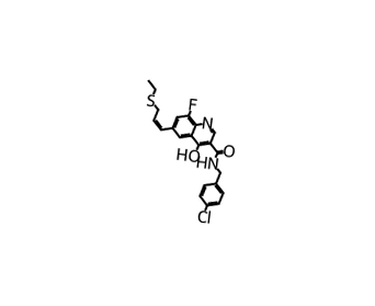 CCSC/C=C\c1cc(F)c2ncc(C(=O)NCc3ccc(Cl)cc3)c(O)c2c1